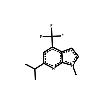 CC(C)c1cc(C(F)(F)F)c2ccn(C)c2n1